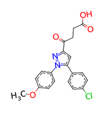 COc1ccc(-n2nc(C(=O)CCC(=O)O)cc2-c2ccc(Cl)cc2)cc1